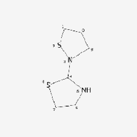 C1CSN(C2NCCS2)C1